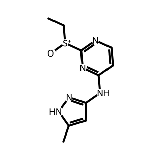 CC[S+]([O-])c1nccc(Nc2cc(C)[nH]n2)n1